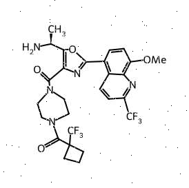 COc1ccc(-c2nc(C(=O)N3CCN(C(=O)C4(C(F)(F)F)CCC4)CC3)c([C@H](C)N)o2)c2ccc(C(F)(F)F)nc12